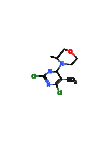 CC1COCCN1c1nc(Cl)nc(Cl)c1[N+](=O)[O-]